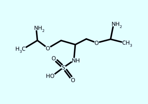 CC(N)OCC(COC(C)N)NS(=O)(=O)O